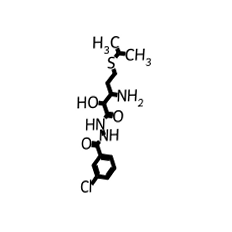 CC(C)SCCC(N)C(O)C(=O)NNC(=O)c1cccc(Cl)c1